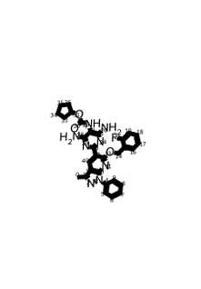 Cc1nn(-c2ccccc2)c2nc(OCc3ccccc3F)c(-c3nc(N)c(NC(=O)OC4CCCC4)c(N)n3)cc12